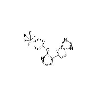 FS(F)(F)(F)(F)c1ccc(Oc2ncccc2-c2ccc3ncncc3c2)cc1